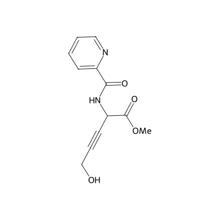 COC(=O)C(C#CCO)NC(=O)c1ccccn1